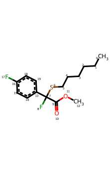 CCCCCCSC(F)(C(=O)OC)c1ccc(F)cc1